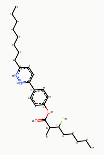 CCCCCCCCc1ccc(-c2ccc(OC(=O)C(C)C(F)CCCCC)cc2)nn1